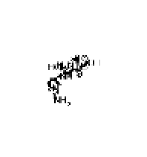 Cl.NN=CN1CCC[C@@H](CNC(=O)C[C@H](N)C(=O)N(CC(=O)O)C2CC2)C1